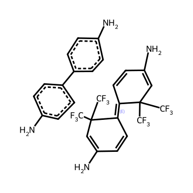 NC1=CC(C(F)(F)F)(C(F)(F)F)/C(=C2\C=CC(N)=CC2(C(F)(F)F)C(F)(F)F)C=C1.Nc1ccc(-c2ccc(N)cc2)cc1